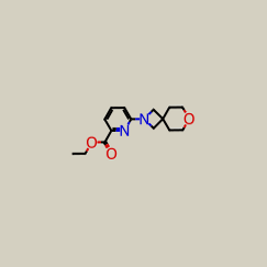 CCOC(=O)c1cccc(N2CC3(CCOCC3)C2)n1